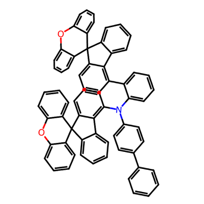 c1ccc(-c2ccc(N(c3ccccc3-c3cccc4c3-c3ccccc3C43c4ccccc4Oc4ccccc43)c3cccc4c3-c3ccccc3C43c4ccccc4Oc4ccccc43)cc2)cc1